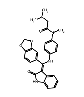 CN(C)CC(=O)N(C)c1ccc(NC(=C2C(=O)Nc3ccccc32)c2ccc3c(c2)OCO3)cc1